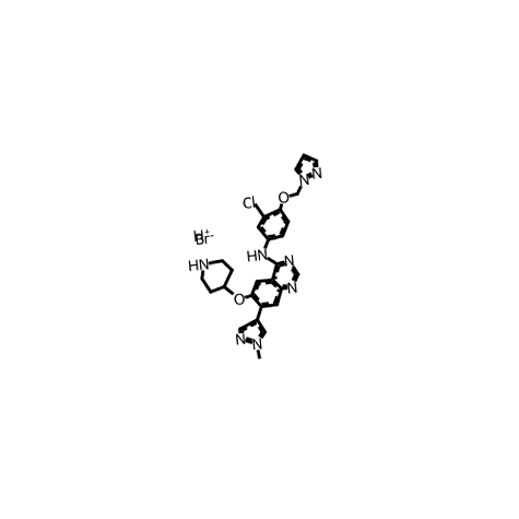 Cn1cc(-c2cc3ncnc(Nc4ccc(OCn5cccn5)c(Cl)c4)c3cc2OC2CCNCC2)cn1.[Br-].[H+]